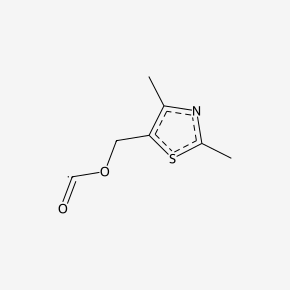 Cc1nc(C)c(CO[C]=O)s1